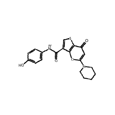 O=C(Nc1ccc(O)cc1)c1csc2c(=O)cc(N3CCCCC3)oc12